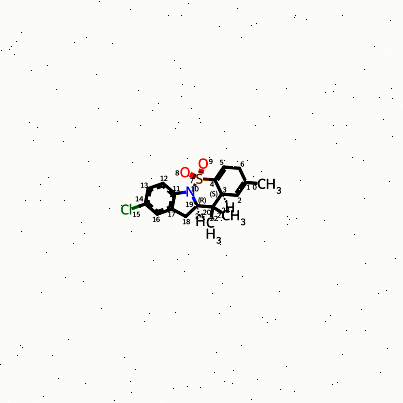 CC1=C[C@@H]2C(=CC1)S(=O)(=O)N1c3ccc(Cl)cc3C[C@@H]1C2(C)C